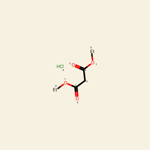 CCOC(=O)CC(=O)OCC.Cl